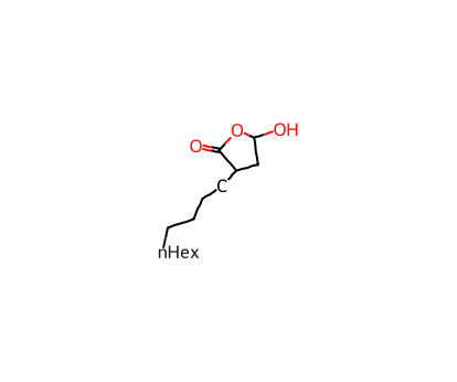 CCCCCCCCCCC1CC(O)OC1=O